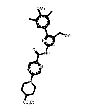 CCOC(=O)C1CCN(c2cnc(C(=O)Nc3nc(-c4cc(C)c(OC)c(C)c4)c(COC(C)=O)s3)cn2)CC1